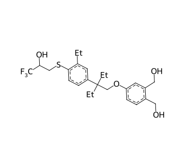 CCc1cc(C(CC)(CC)COc2ccc(CO)c(CO)c2)ccc1SCC(O)C(F)(F)F